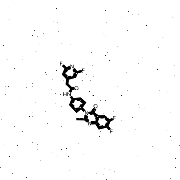 Cc1nc2cc(F)c(F)cc2c(=O)n1-c1ccc(NC(=O)Cc2cc(F)nc(F)c2)cc1